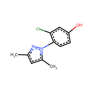 Cc1cc(C)n(-c2ccc(O)cc2Cl)n1